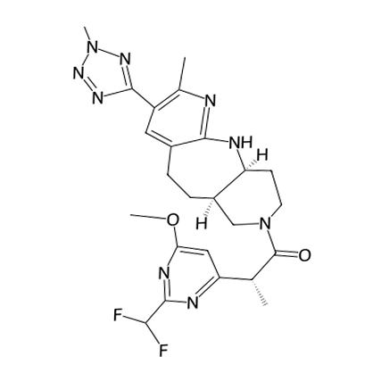 COc1cc([C@@H](C)C(=O)N2CC[C@@H]3Nc4nc(C)c(-c5nnn(C)n5)cc4CC[C@@H]3C2)nc(C(F)F)n1